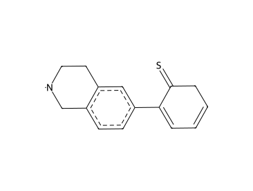 S=C1CC=CC=C1c1ccc2c(c1)CC[N]C2